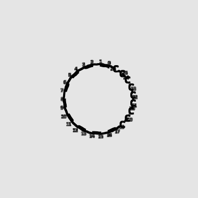 [C]1=C/C=C\C=C/C=C\C=C/C=C\C=C/C=C\C=C/CCCCCCCCC\1